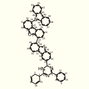 C1=CCC(C2=NC(c3ccccc3)=NC(c3ccc4sc5c(-c6cccc7c6oc6cccc(-n8c9ccccc9c9ccccc98)c67)cccc5c4c3)N2)C=C1